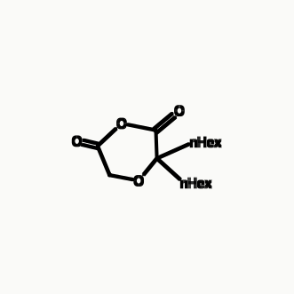 CCCCCCC1(CCCCCC)OCC(=O)OC1=O